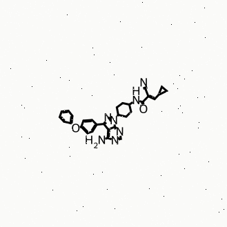 N#C/C(=C\C1CC1)C(=O)NC1CCC(n2nc(-c3ccc(Oc4ccccc4)cc3)c3c(N)ncnc32)CC1